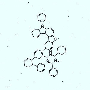 CN1C(c2ccccc2)N=C(C2=C(C3C=CC4OC5=C(C4C3)C3C4=CCCC=C4N(c4ccccc4)C3C=C5)C=CC(C3C=CCCC3c3ccccc3)C2)NC1C1CC=CCC1